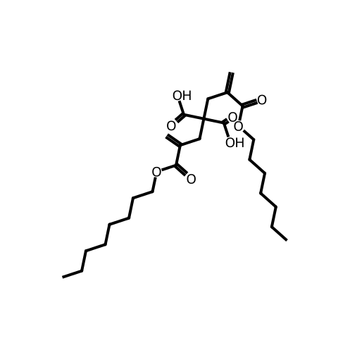 C=C(CC(CC(=C)C(=O)OCCCCCCCC)(C(=O)O)C(=O)O)C(=O)OCCCCCCC